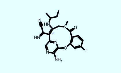 CCC(C)N/C1=C(\C(=N)C#N)c2cnc(N)c(n2)Oc2cc(F)ccc2C(=O)N(C)C1